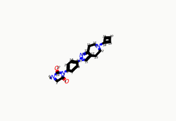 CN1CC(=O)N(c2ccc(-n3cc4c(n3)CCN(C3=CC=C3)CC4)cc2)C1=O